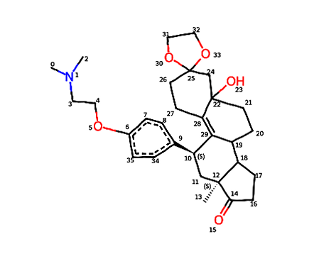 CN(C)CCOc1ccc([C@@H]2C[C@]3(C)C(=O)CCC3C3CCC4(O)CC5(CCC4=C32)OCCO5)cc1